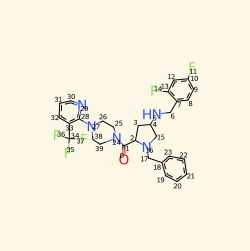 O=C(C1CC(NCc2ccc(F)cc2F)CN1Cc1ccccc1)N1CCN(c2ncccc2C(F)(F)F)CC1